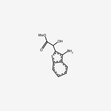 Bc1c(C(O)C(=O)OC)sc2ccccc12